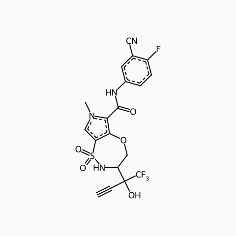 C#CC(O)(C1COc2c(cn(C)c2C(=O)Nc2ccc(F)c(C#N)c2)S(=O)(=O)N1)C(F)(F)F